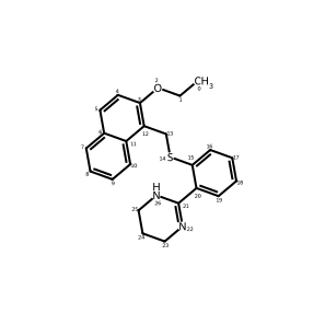 CCOc1ccc2ccccc2c1CSc1ccccc1C1=NCCCN1